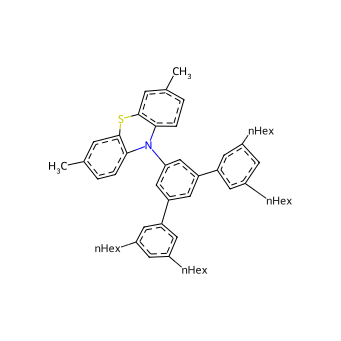 CCCCCCc1cc(CCCCCC)cc(-c2cc(-c3cc(CCCCCC)cc(CCCCCC)c3)cc(N3c4ccc(C)cc4Sc4cc(C)ccc43)c2)c1